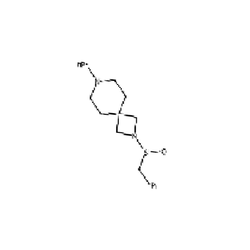 CCCN1CCC2(CC1)CN([S+]([O-])CC(C)C)C2